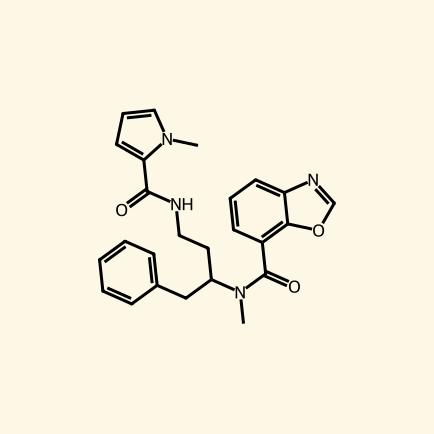 CN(C(=O)c1cccc2ncoc12)C(CCNC(=O)c1cccn1C)Cc1ccccc1